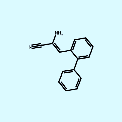 N#CC(N)=Cc1ccccc1-c1ccccc1